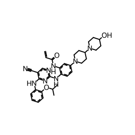 C=CC(=O)Nc1cc(N2CCC(N3CCC(O)CC3)CC2)ccc1Nc1ncc(C#N)c(Nc2ccccc2OC(C)C)n1